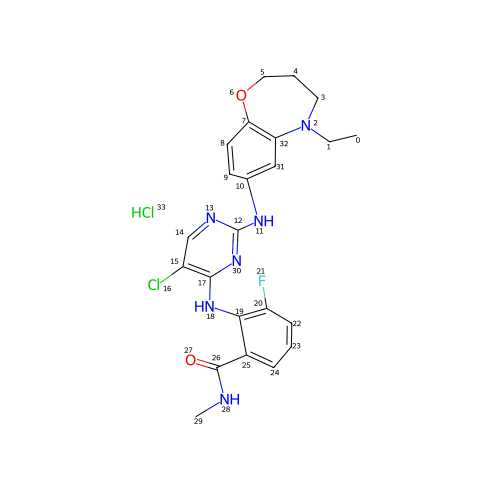 CCN1CCCOc2ccc(Nc3ncc(Cl)c(Nc4c(F)cccc4C(=O)NC)n3)cc21.Cl